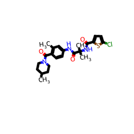 Cc1cc(NC(=O)C(C)(C)NC(=O)c2ccc(Cl)s2)ccc1C(=O)N1CCC(C)CC1